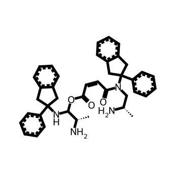 C[C@H](N)CN(C(=O)/C=C\C(=O)OC(NC1(c2ccccc2)Cc2ccccc2C1)[C@H](C)N)C1(c2ccccc2)Cc2ccccc2C1